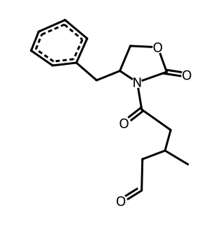 CC(CC=O)CC(=O)N1C(=O)OCC1Cc1ccccc1